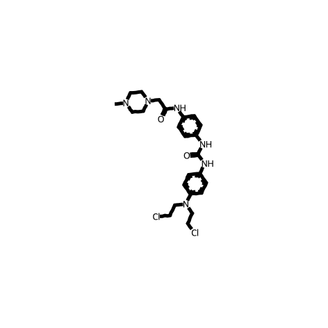 CN1CCN(CC(=O)Nc2ccc(NC(=O)Nc3ccc(N(CCCl)CCCl)cc3)cc2)CC1